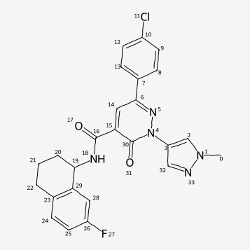 Cn1cc(-n2nc(-c3ccc(Cl)cc3)cc(C(=O)NC3CCCc4ccc(F)cc43)c2=O)cn1